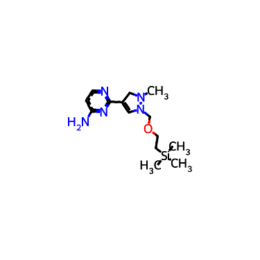 CN1CC(c2nccc(N)n2)=CN1COCC[Si](C)(C)C